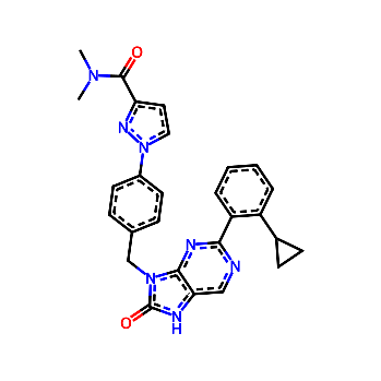 CN(C)C(=O)c1ccn(-c2ccc(Cn3c(=O)[nH]c4cnc(-c5ccccc5C5CC5)nc43)cc2)n1